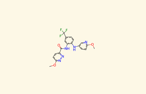 COc1ccc(Nc2ccc(C(F)(F)F)cc2NC(=O)c2ccc(OC)nn2)cn1